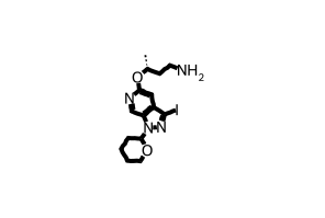 C[C@H](CCN)Oc1cc2c(I)nn(C3CCCCO3)c2cn1